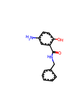 Nc1ccc(O)c(C(=O)NCc2ccccc2)c1